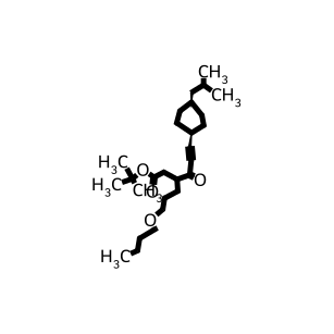 CCCCOCCCC(CC(=O)OC(C)(C)C)C(=O)C#C[C@H]1CC[C@@H](CC(C)C)CC1